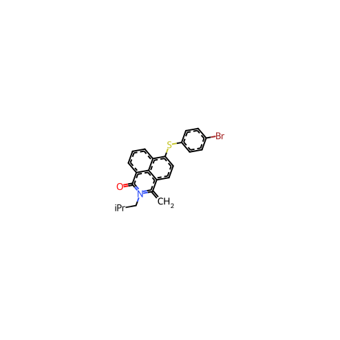 C=c1c2ccc(Sc3ccc(Br)cc3)c3cccc(c(=O)n1CC(C)C)c32